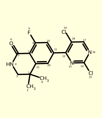 CC1(C)CNC(=O)c2c(F)cc(-c3nc(Cl)ncc3Cl)cc21